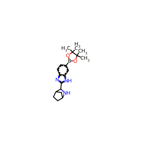 CC1(C)OB(c2ccc3nc(C4NC5CCC4C5)[nH]c3c2)OC1(C)C